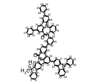 CC1(C)c2ccccc2-c2cc3c4cc(-c5ccc6c(c5)c5ccccc5n6-c5ccccc5)cc5c6cc(-c7cccc(N8C(=O)c9cc(-c%10ccccc%10)cc%10c%11cc(-c%12ccccc%12)ccc%11n(c9%10)-c9ccccc98)c7)ccc6c(=O)n(c3cc21)c54